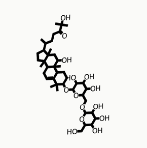 CC(CCC(=O)C(C)(C)O)C1CCC2(C)C3CC=C4C(CCC(OC5OC(COC6OC(CO)C(O)C(O)C6O)C(O)C(O)C5O)C4(C)C)C3(C)C(O)CC12C